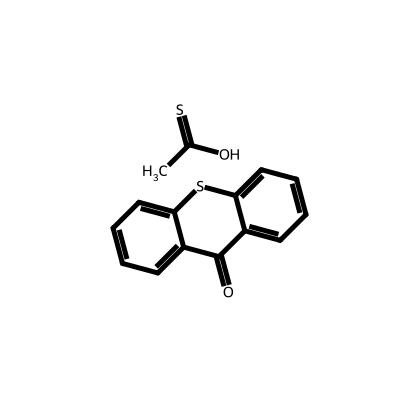 CC(O)=S.O=c1c2ccccc2sc2ccccc12